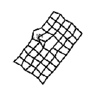 NC1C23C4CC5C6C7C8CC9C%10C%11C%12CC%13C%14C%15C%16C%17C%18C%19C%20CC%21C%22C%23C%24CC%25C4C24C%25%24C%232C%22%23C%20%21C%19%20C%18%19C%17%18C%17C%19%21C3(C(N)C3%19C51C61C75C98C%106C%117C%12%13C%148C%159C%16%18C%173C93C78C65C1%193)C42C%20%23%21